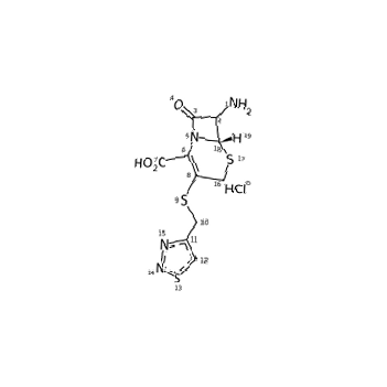 Cl.NC1C(=O)N2C(C(=O)O)=C(SCc3csnn3)CS[C@@H]12